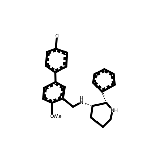 COc1ccc(-c2ccc(Cl)cc2)cc1CN[C@H]1CCCN[C@H]1c1ccccc1